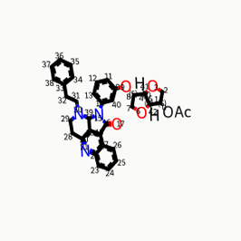 CC(=O)O[C@H]1CO[C@H]2[C@@H]1OC[C@@H]2Oc1cccc(N2C(=O)c3c4c(nc5ccccc35)CCN(CCc3ccccc3)C42)c1